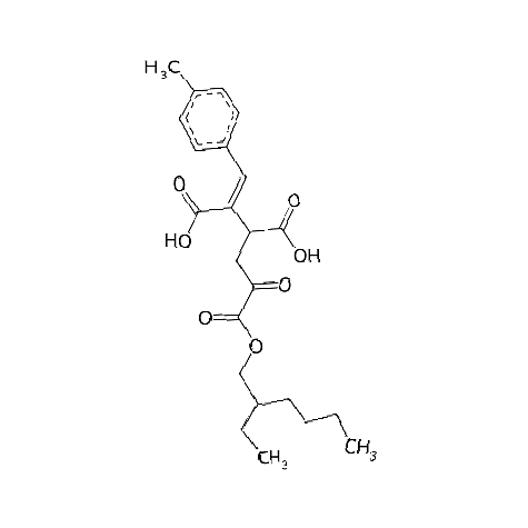 CCCCC(CC)COC(=O)C(=O)CC(C(=O)O)C(=Cc1ccc(C)cc1)C(=O)O